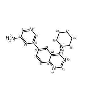 Nc1cncc(-c2ccc3ncnc(N4CCCCC4)c3c2)c1